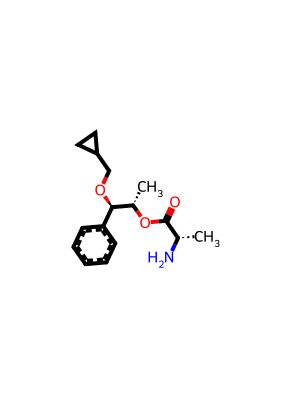 C[C@H](N)C(=O)O[C@@H](C)[C@H](OCC1CC1)c1ccccc1